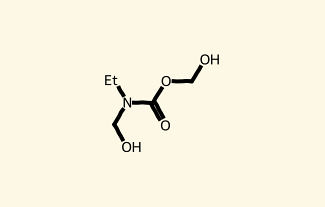 CCN(CO)C(=O)OCO